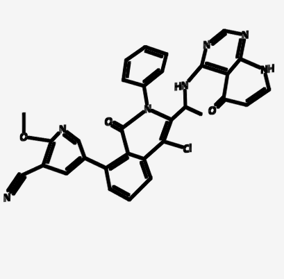 COc1ncc(-c2cccc3c(Cl)c(C(C)Nc4ncnc5[nH]ccc(=O)c45)n(-c4ccccc4)c(=O)c23)cc1C#N